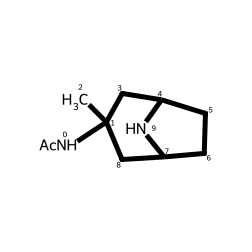 CC(=O)NC1(C)CC2CCC(C1)N2